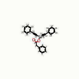 O=C(Cc1ccccc1)O[SiH](C#Cc1ccccc1)C#Cc1ccccc1